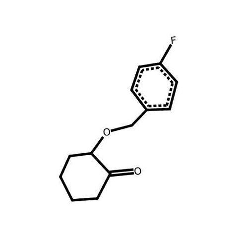 O=C1CCCCC1OCc1ccc(F)cc1